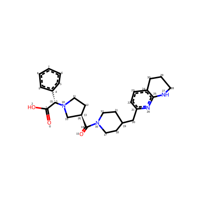 O=C(O)[C@H](c1ccccc1)N1CC[C@@H](C(=O)N2CCC(Cc3ccc4c(n3)NCCC4)CC2)C1